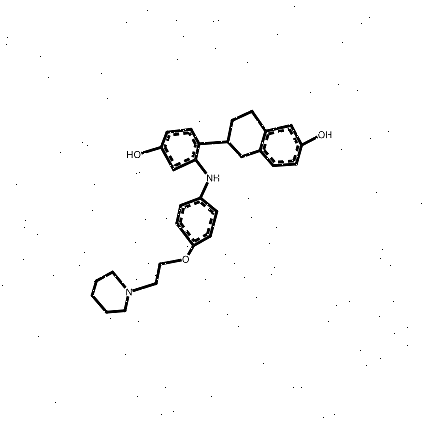 Oc1ccc2c(c1)CCC(c1ccc(O)cc1Nc1ccc(OCCN3CCCCC3)cc1)C2